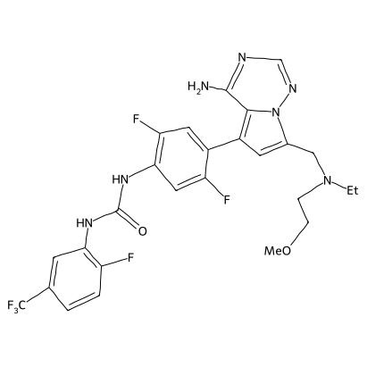 CCN(CCOC)Cc1cc(-c2cc(F)c(NC(=O)Nc3cc(C(F)(F)F)ccc3F)cc2F)c2c(N)ncnn12